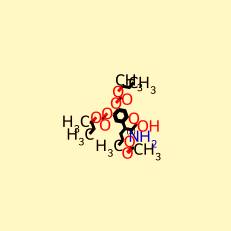 CCC(C)OC(=O)Oc1ccc(C(CC(C)OC(C)=O)[C@H](N)C(=O)O)cc1OC(=O)OC(C)CC